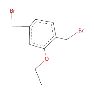 CCOc1cc(CBr)ccc1CBr